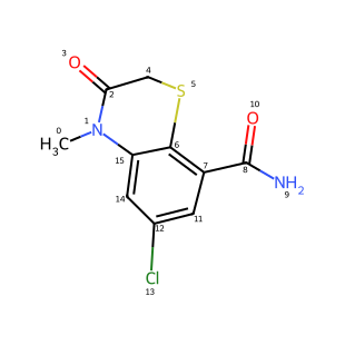 CN1C(=O)CSc2c(C(N)=O)cc(Cl)cc21